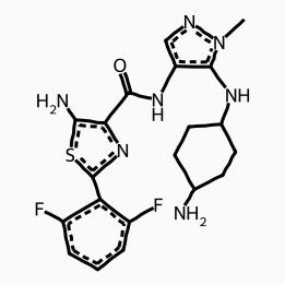 Cn1ncc(NC(=O)c2nc(-c3c(F)cccc3F)sc2N)c1NC1CCC(N)CC1